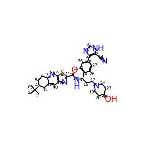 CC(C)(C)[C@H]1CCc2nc3sc(C(=O)N[C@H](CCN4CCC(O)CC4)c4ccc(-c5nc[nH]c5C#N)cc4)nc3cc2C1